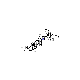 COc1ccc(N)cc1S(=O)(=O)N1CCC2(CC1)CN/C(=N\C(=O)c1nc(Cl)c(N)nc1N)N2